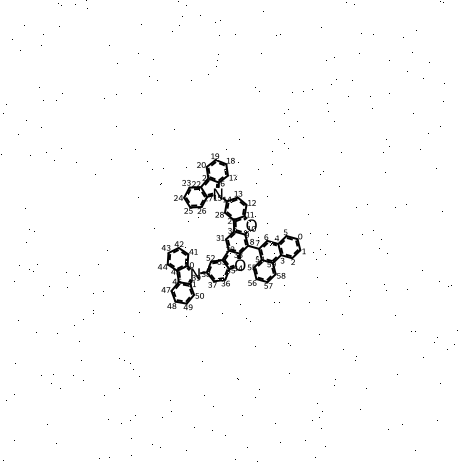 c1ccc2c(c1)cc(-c1c3oc4ccc(-n5c6ccccc6c6ccccc65)cc4c3cc3c1oc1ccc(-n4c5ccccc5c5ccccc54)cc13)c1ccccc12